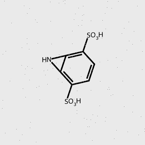 O=S(=O)(O)c1ccc(S(=O)(=O)O)c2c1N2